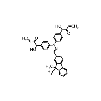 C=CC(=O)C(O)c1ccc(N(N=Cc2ccc3c(c2)C(C)(C)c2ccccc2-3)c2ccc(C(O)C(=O)C=C)cc2)cc1